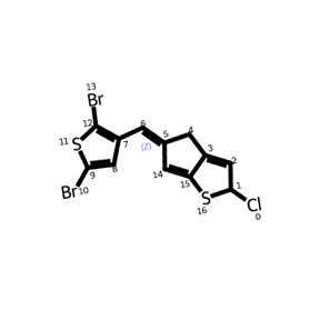 ClC1C=C2C/C(=C/c3cc(Br)sc3Br)C=C2S1